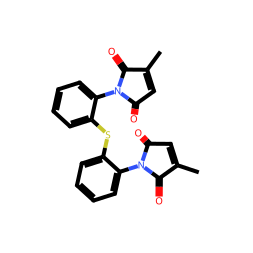 CC1=CC(=O)N(c2ccccc2Sc2ccccc2N2C(=O)C=C(C)C2=O)C1=O